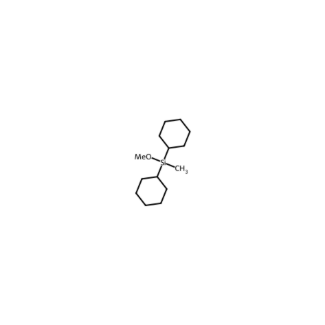 CO[Si](C)(C1CCCCC1)C1CCCCC1